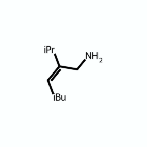 CCC(C)/C=C(\CN)C(C)C